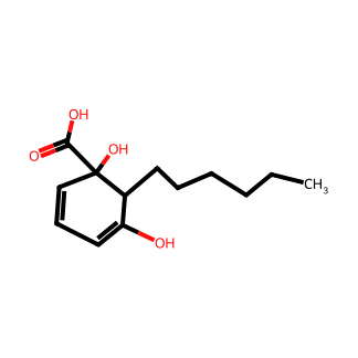 CCCCCCC1C(O)=CC=CC1(O)C(=O)O